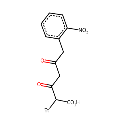 CCC(C(=O)O)C(=O)CC(=O)Cc1ccccc1[N+](=O)[O-]